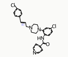 O=C(Nc1ccc(Cl)cc1N1CCN(C/C=C/c2ccc(Cl)cc2)CC1)c1ccncc1